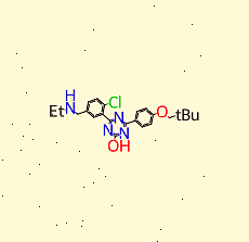 CCNCc1ccc(Cl)c(-c2nc(O)nc(-c3ccc(OCC(C)(C)C)cc3)n2)c1